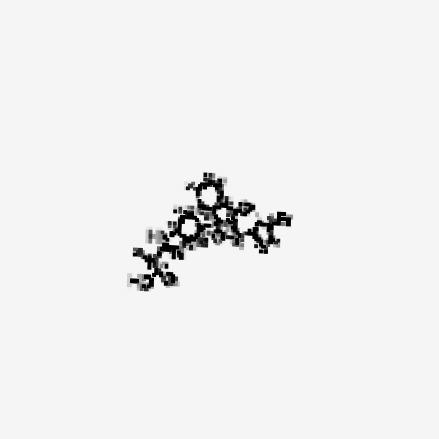 CC(c1cc(Br)cs1)N1C(=O)c2ccccc2C1(O)c1ccc2[nH]c(N(C)C(=O)O)nc2c1